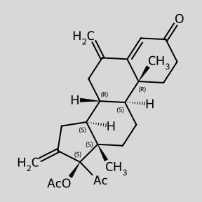 C=C1C[C@@H]2[C@H](CC[C@@]3(C)[C@H]2CC(=C)[C@@]3(OC(C)=O)C(C)=O)[C@@]2(C)CCC(=O)C=C12